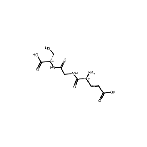 N[C@@H](CCC(=O)O)C(=O)NCC(=O)N[C@@H](CS)C(=O)O